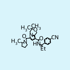 CC[C@@H](NC(=O)c1cc(C(=O)N2CCCC2C)n2c1COC(C)(C)C2)c1ccc(C#N)cc1